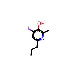 CCCc1cc(I)c(O)c(C)n1